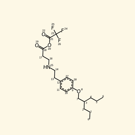 CCCC(CCC)COc1ccc(CCNCCC(=O)OC(=O)C(F)(F)F)cc1